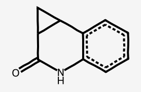 O=C1Nc2ccccc2C2CC12